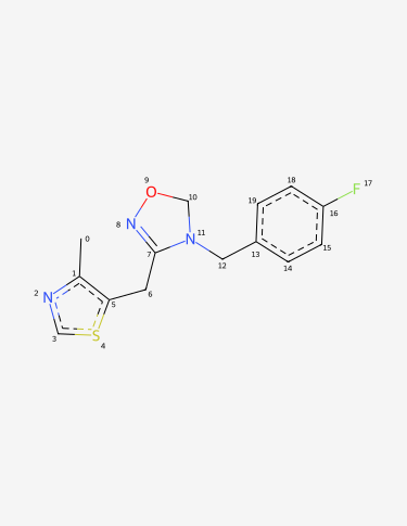 Cc1ncsc1CC1=NOCN1Cc1ccc(F)cc1